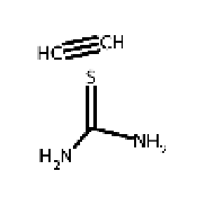 C#C.NC(N)=S